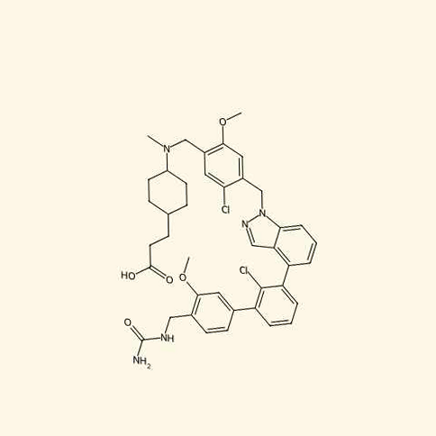 COc1cc(-c2cccc(-c3cccc4c3cnn4Cc3cc(OC)c(CN(C)C4CCC(CCC(=O)O)CC4)cc3Cl)c2Cl)ccc1CNC(N)=O